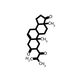 C=C(C)C(=O)C1CC2(C)C(=CCC3C4CCC(=O)C4(C)CCC32)CC1=O